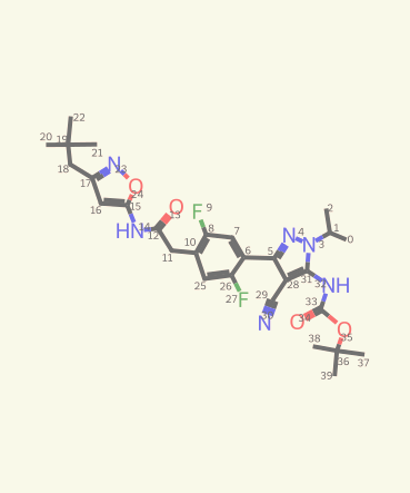 CC(C)n1nc(-c2cc(F)c(CC(=O)Nc3cc(CC(C)(C)C)no3)cc2F)c(C#N)c1NC(=O)OC(C)(C)C